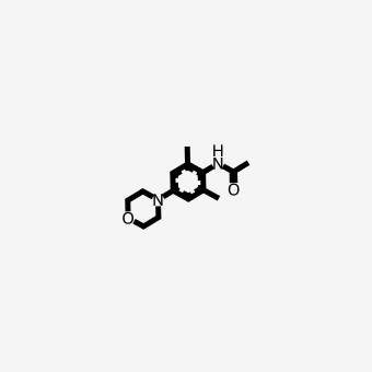 CC(=O)Nc1c(C)cc(N2CCOCC2)cc1C